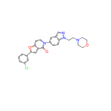 O=c1c2cc(-c3cccc(Cl)c3)oc2ccn1-c1ccc2c(cnn2CCN2CCOCC2)c1